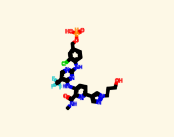 CNC(=O)c1nc(-c2cnn(CCCO)c2)ccc1Nc1nc(Nc2ccc(CO[PH](=O)O)cc2Cl)ncc1C(F)(F)F